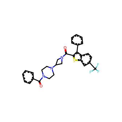 O=C(c1ccccc1)N1CCN(C2CN(C(=O)c3sc4cc(C(F)(F)F)ccc4c3-c3ccccc3)C2)CC1